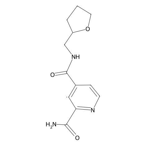 NC(=O)c1[c]c(C(=O)NCC2CCCO2)ccn1